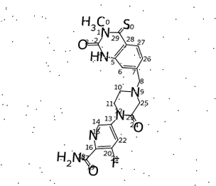 Cn1c(=O)[nH]c2cc(CN3CCN(c4cnc(C(N)=O)c(F)c4)C(=O)C3)ccc2c1=S